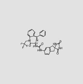 O=C(Nc1ccc2c(c1)CC1(C2)NC(=O)NC1=O)N[C@@H]1N=C(c2ccccc2)c2ccccc2N(CC(F)(F)F)C1=O